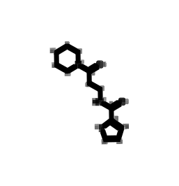 O=C(NCCC(=O)N1CCCCC1)c1cccs1